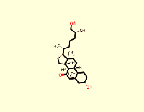 C[C@@H](CO)CCC[C@@H](C)[C@H]1CC[C@@]2(C)[C@@H]3C(=O)C=C4C[C@@H](O)CC[C@]4(C)[C@H]3CC[C@]12C